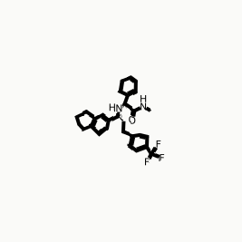 CNC(=O)[C@H](N[C@H](CCc1ccc(C(F)(F)F)cc1)c1ccc2c(c1)CCCC2)c1ccccc1